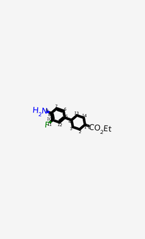 CCOC(=O)C1CCC(c2ccc(N)c(F)c2)CC1